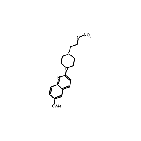 COc1ccc2nc(N3CCN(CCO[N+](=O)[O-])CC3)ccc2c1